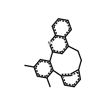 Cc1cc(C)c2c(c1)-c1cc(c3ccccc3n1)CCc1cccc-2c1